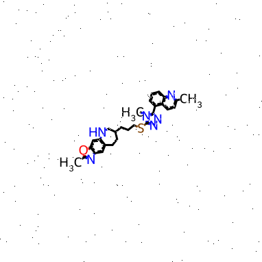 Cc1ccc2c(-c3nnc(SCCCC4CCc5cc6nc(C)oc6cc5NC4)n3C)cccc2n1